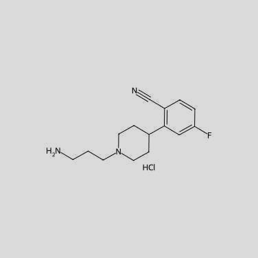 Cl.N#Cc1ccc(F)cc1C1CCN(CCCN)CC1